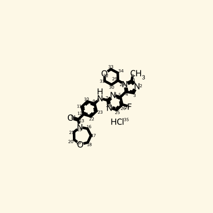 Cc1ncc(-c2nc(Nc3ccc(C(=O)N4CCCOCC4)cc3)ncc2F)n1C1CCOCC1.Cl